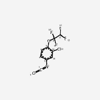 O=C=Nc1ccc(OC(F)(F)C(F)F)c(Cl)c1